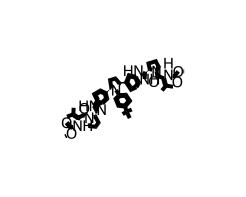 COC(=O)NC(C(=O)N1CCC[C@H]1c1nc2cc([C@@H]3CC[C@@H](c4ccc5c(c4)NC([C@@H]4CCCN4C(=O)C(NC(=O)OC)=C(C)C)N5)N3c3ccc(C(C)(C)C)cc3)ccc2[nH]1)=C(C)C